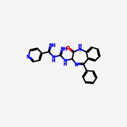 N=C(NC(=N)c1ccncc1)NC1N=C(c2ccccc2)c2ccccc2NC1=O